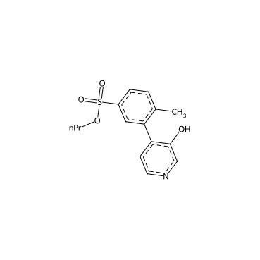 CCCOS(=O)(=O)c1ccc(C)c(-c2ccncc2O)c1